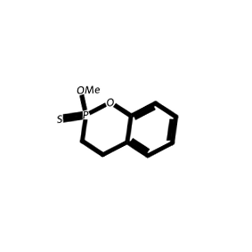 COP1(=S)CCc2ccccc2O1